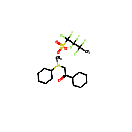 C[S+](CC(=O)C1CCCCC1)C1CCCCC1.O=S(=O)([O-])C(F)(F)C(F)(F)C(F)(F)C(F)(F)F